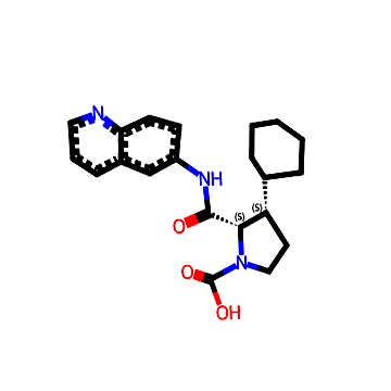 O=C(Nc1ccc2ncccc2c1)[C@@H]1[C@H](C2CCCCC2)CCN1C(=O)O